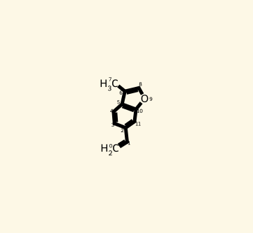 C=Cc1ccc2c(C)coc2c1